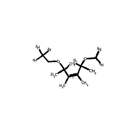 [2H]C([2H])OC(C)(C)/C(C)=C(/C)C(C)(C)OCC([2H])([2H])[2H]